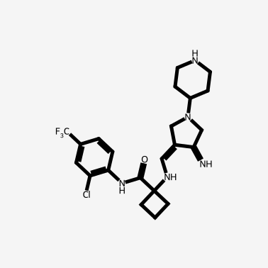 N=C1CN(C2CCNCC2)C/C1=C/NC1(C(=O)Nc2ccc(C(F)(F)F)cc2Cl)CCC1